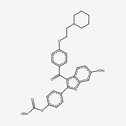 CCCCCCCCCCC(=O)Oc1ccc(-c2sc3cc(OC(C)=O)ccc3c2C(=O)c2ccc(OCCN3CCCCC3)cc2)cc1